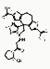 C[C@H](CC1(c2nn[nH]n2)c2cc(C(N)=O)sc2CCc2sc(C(N)=O)cc21)NCC(=O)N1CCC[C@H]1C#N